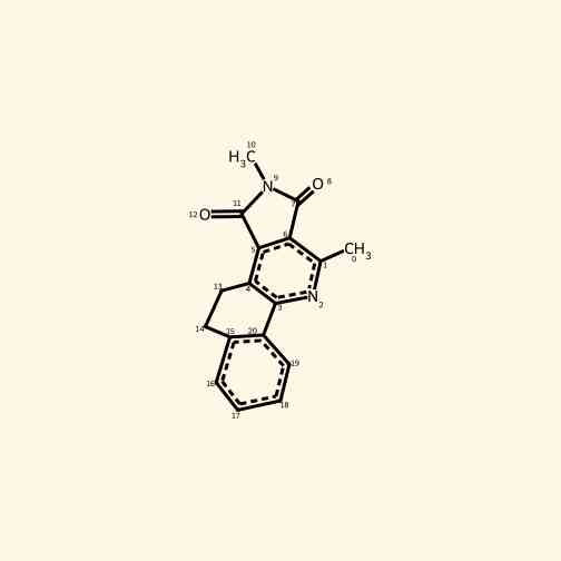 Cc1nc2c(c3c1C(=O)N(C)C3=O)CCc1ccccc1-2